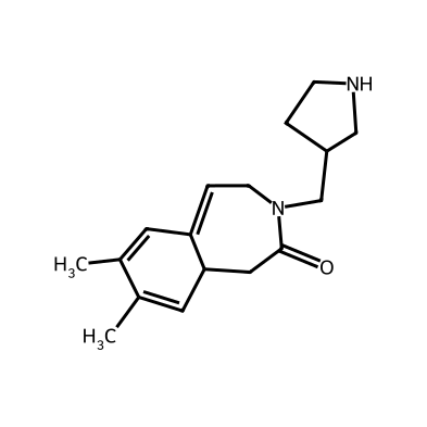 CC1=CC2=CCN(CC3CCNC3)C(=O)CC2C=C1C